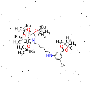 CC1(C)OB(c2cc(NCCCCCCN3CC(O[Si](C)(C)C(C)(C)C)C(O[Si](C)(C)C(C)(C)C)C(O[Si](C)(C)C(C)(C)C)[C@H]3CO[Si](C)(C)C(C)(C)C)cc(C3CC3)c2)OC1(C)C